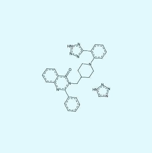 O=c1c2ccccc2nc(-c2ccccc2)n1CC1CCN(c2ccccc2-c2nn[nH]n2)CC1.c1nnn[nH]1